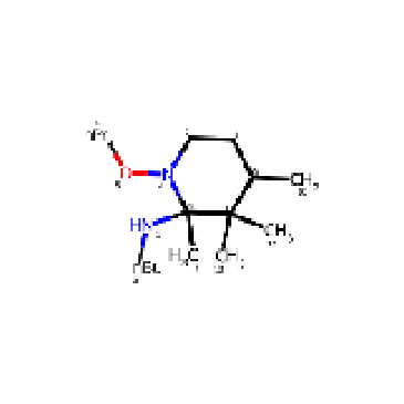 CCCCNC1(C)N(OCCC)CCC(C)C1(C)C